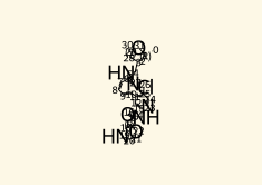 C[C@@H]1CC(CNc2cccc(-c3cc(NC(=O)[C@H]4CNCCO4)ncc3Cl)n2)C[C@H](C)O1